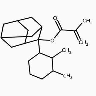 C=C(C)C(=O)OC1(C2CCCC(C)C2C)C2CC3CC(C2)CC1C3